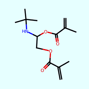 C=C(C)C(=O)OCC(NC(C)(C)C)OC(=O)C(=C)C